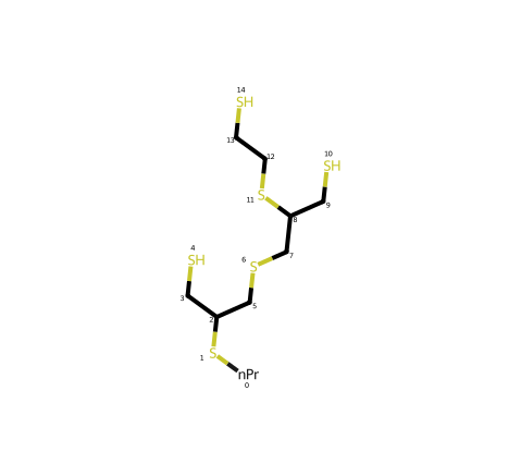 CCCSC(CS)CSCC(CS)SCCS